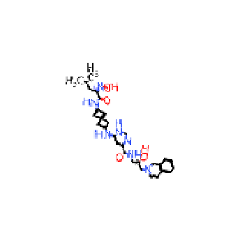 CC(C)C/C(=N/O)C(=O)NC1CC2(C1)CC(NC1=CC(C(=O)NC[C@H](O)CN3CCc4ccccc4C3)=NCN1)C2